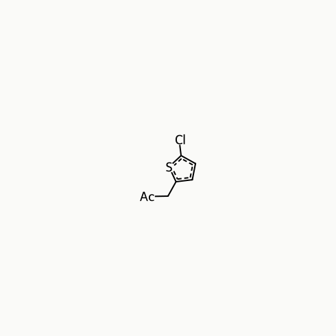 CC(=O)Cc1ccc(Cl)s1